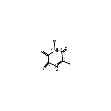 C=C/C(C)=N\C(=C)C(=C)NC